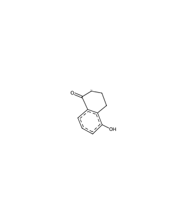 O=C1[C]CCc2c(O)cccc21